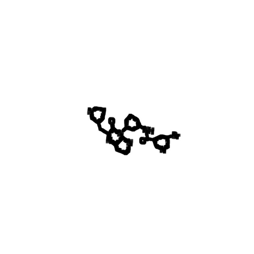 O=C(Nc1cccc(-n2c(=O)c(Cc3cccnc3)nc3cccnc32)c1)c1cncc(Br)c1